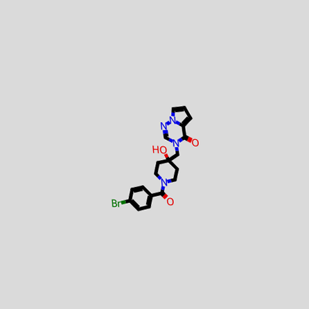 O=C(c1ccc(Br)cc1)N1CCC(O)(Cn2cnn3cccc3c2=O)CC1